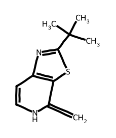 C=C1NC=Cc2nc(C(C)(C)C)sc21